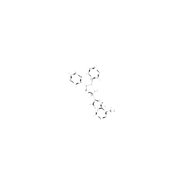 Brc1cccn2cc(C3=NC(c4ccccc4)C(c4ccccc4)O3)nc12